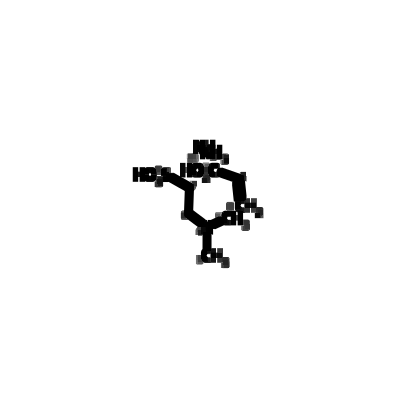 C=CC(=O)O.CN(C)CCS(=O)(=O)O.N.N